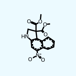 COC(=O)C1(C(=O)OC)CNc2cc([N+](=O)[O-])c3ccccc3c21